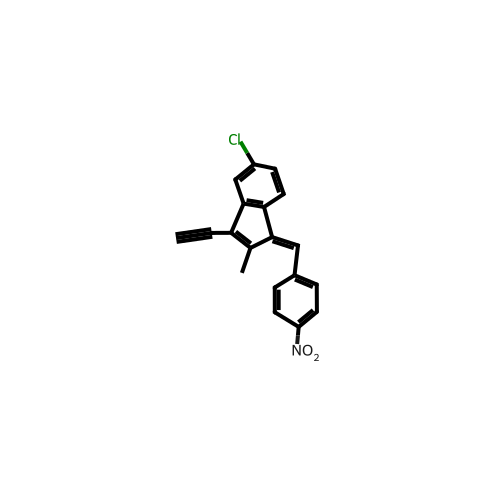 C#CC1=C(C)C(=Cc2ccc([N+](=O)[O-])cc2)c2ccc(Cl)cc21